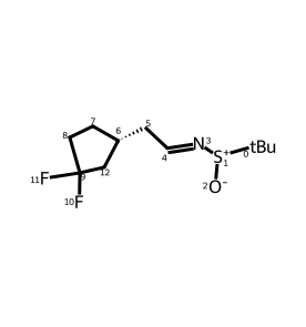 CC(C)(C)[S+]([O-])/N=C/C[C@H]1CCC(F)(F)C1